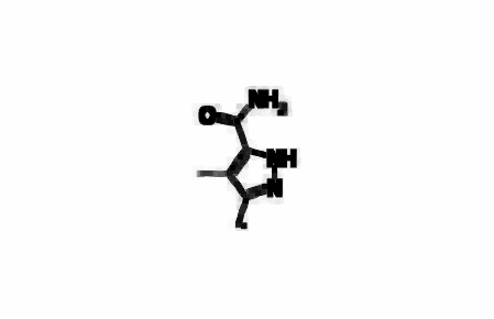 [CH2]c1n[nH]c(C(N)=O)c1C